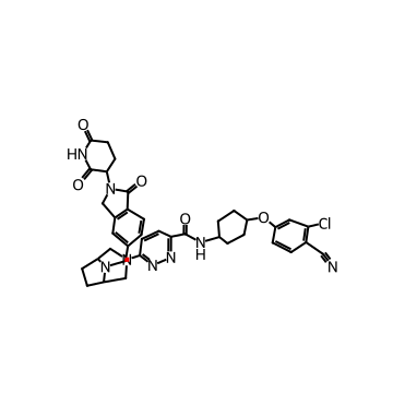 N#Cc1ccc(OC2CCC(NC(=O)c3ccc(N4CC5CCC(C4)N5Cc4ccc5c(c4)CN(C4CCC(=O)NC4=O)C5=O)nn3)CC2)cc1Cl